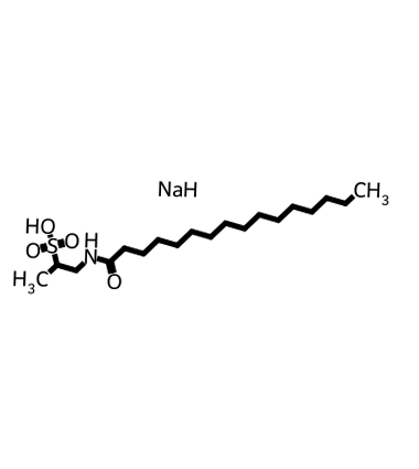 CCCCCCCCCCCCCCCC(=O)NCC(C)S(=O)(=O)O.[NaH]